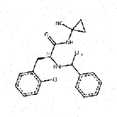 N#CC1(NC(=O)[C@H](Cc2ccccc2Cl)NC(c2ccccc2)C(F)(F)F)CC1